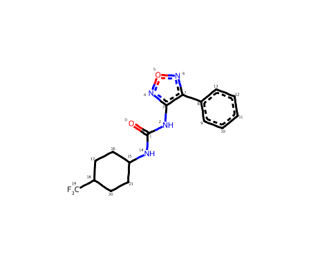 O=C(Nc1nonc1-c1ccccc1)NC1CCC(C(F)(F)F)CC1